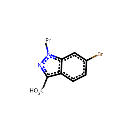 CC(C)n1nc(C(=O)O)c2ccc(Br)cc21